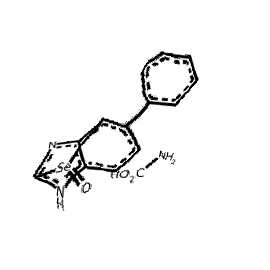 NC(=O)O.O=[Se]1c2nc3c1c(-c1ccccc1)ccc3[nH]2